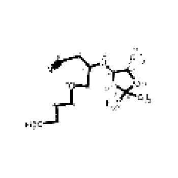 CCCCOCC(CC#N)O[C@@H]1OC(C)(C)O[C@H]1C